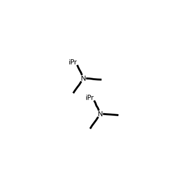 CC(C)N(C)C.CC(C)N(C)C